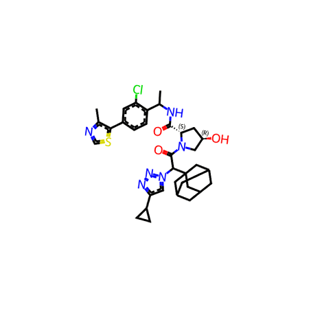 Cc1ncsc1-c1ccc(C(C)NC(=O)[C@@H]2C[C@@H](O)CN2C(=O)C(n2cc(C3CC3)nn2)C23CC4CC(CC(C4)C2)C3)c(Cl)c1